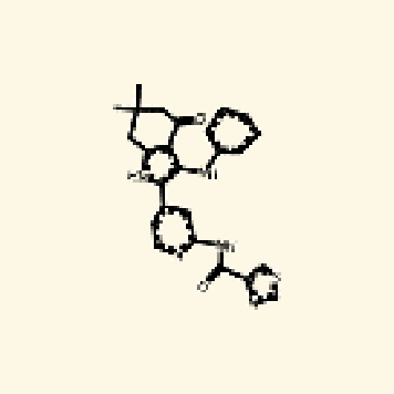 CC1(C)CC(=O)c2c([nH]c(-c3ccnc(NC(=O)c4cscn4)c3)c2Nc2ccccc2)C1